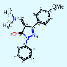 COc1ccc(C2=NN(c3ccccc3)C(=O)C2=CN(C)C)cc1